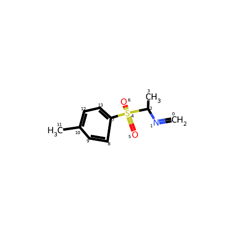 C=NC(C)S(=O)(=O)c1ccc(C)cc1